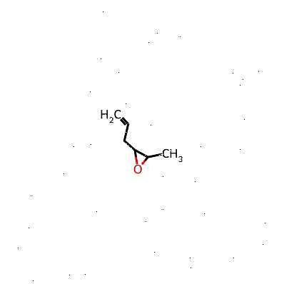 C=CCC1OC1C